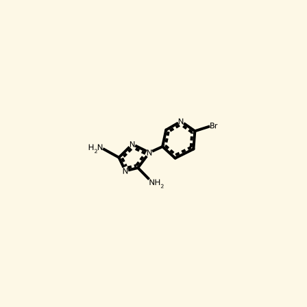 Nc1nc(N)n(-c2ccc(Br)nc2)n1